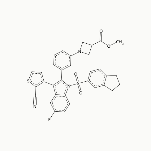 COC(=O)C1CN(c2cccc(-c3c(-c4ccsc4C#N)c4cc(F)ccc4n3S(=O)(=O)c3ccc4c(c3)CCC4)c2)C1